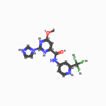 COc1cc(C(=O)Nc2ccnc(C(F)(F)F)c2)nc(-n2ccnc2)n1